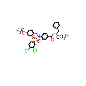 O=C(CC(Cc1ccccc1)C(=O)O)c1ccc(N(Cc2ccc(OC(F)(F)F)cc2)S(=O)(=O)c2ccc(Cl)c(Cl)c2)cc1